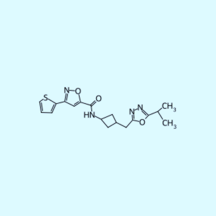 CC(C)c1nnc(CC2CC(NC(=O)c3cc(-c4cccs4)no3)C2)o1